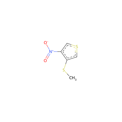 CSc1cscc1[N+](=O)[O-]